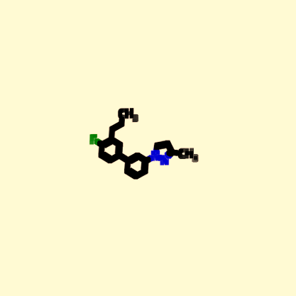 CCCc1cc(-c2cccc(-n3ccc(C)n3)c2)ccc1F